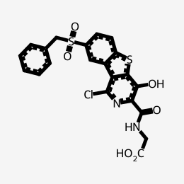 O=C(O)CNC(=O)c1nc(Cl)c2c(sc3ccc(S(=O)(=O)Cc4ccccc4)cc32)c1O